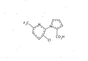 O=C(O)c1cccn1-c1nc(C(F)(F)F)ccc1Cl